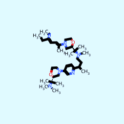 C=N/C(=C\C=C(/C)N1CCO[C@@H](C(C)(C)N(C)CCC(C)c2ccc(N3CCO[C@@H](C(C)(C)N(C)C)C3)cn2)C1)CC